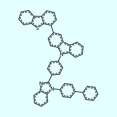 c1ccc(-c2ccc(-n3c(-c4ccc(-n5c6ccccc6c6cc(-c7cccc8c7sc7ccccc78)ccc65)cc4)nc4ccccc43)cc2)cc1